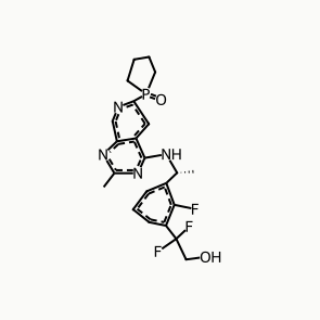 Cc1nc(N[C@H](C)c2cccc(C(F)(F)CO)c2F)c2cc(P3(=O)CCCC3)ncc2n1